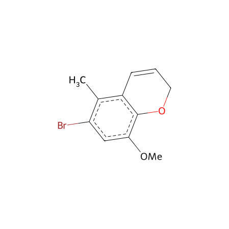 COc1cc(Br)c(C)c2c1OCC=C2